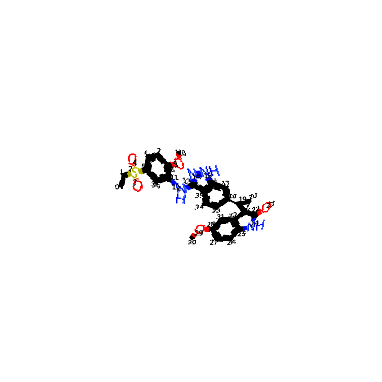 CCS(=O)(=O)c1ccc(OC)c(Nc2n[nH]c3cc([C@@H]4C[C@@]45C(=O)Nc4ccc(OC)cc45)ccc23)c1